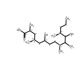 CCC[C@H](C)C(O)C(C)N(C)CCC(O)C[C@@H](C)CC(C)C(=O)O